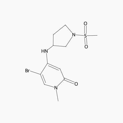 Cn1cc(Br)c(NC2CCN(S(C)(=O)=O)C2)cc1=O